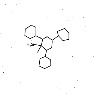 CC1([SiH3])C(C2CCCCC2)CC(C2CCCCC2)CC1C1CCCCC1